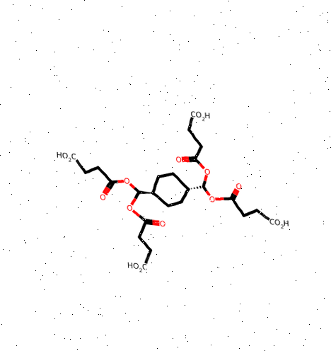 O=C(O)CCC(=O)OC(OC(=O)CCC(=O)O)[C@H]1CC[C@H](C(OC(=O)CCC(=O)O)OC(=O)CCC(=O)O)CC1